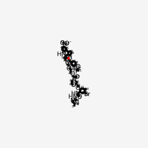 Cc1cnc(NC(=O)Nc2cc(Br)c(C)cc2OC[C@@H]2CN(C(=O)COCCOCCN(CC(C)(C)C3Nc4ccc([N+](=O)[O-])cc4C4CCCC43)C(=O)c3ccc(OC(F)(F)F)cc3)CCO2)cn1